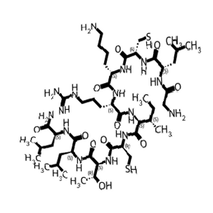 CC[C@H](C)[C@H](NC(=O)[C@H](CCCNC(=N)N)NC(=O)[C@H](CCCCN)NC(=O)[C@H](CS)NC(=O)[C@H](CC(C)C)NC(=O)CN)C(=O)N[C@@H](CS)C(=O)N[C@H](C(=O)N[C@@H](CC(C)C)C(=O)N[C@@H](CC(C)C)C(N)=O)[C@@H](C)O